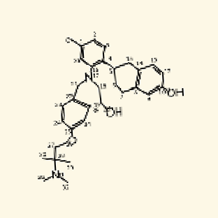 Cc1ccc([C@@H]2CCc3cc(O)ccc3C2)c(N(CCO)Cc2ccc(OCC(C)(C)N(C)C)cc2)c1